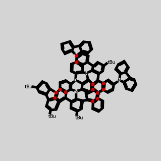 CC(C)(C)c1cc(-c2ccccc2)c(N2c3cc(-n4c5ccccc5c5ccccc54)ccc3B3c4ccc(-n5c6ccc(C(C)(C)C)cc6c6cc(C(C)(C)C)ccc65)cc4N(c4c(-c5ccccc5)cc(C(C)(C)C)cc4-c4ccccc4)c4cc(N(c5ccccc5)c5ccc(-n6c7ccccc7c7ccccc76)cc5)cc2c43)c(-c2ccccc2)c1